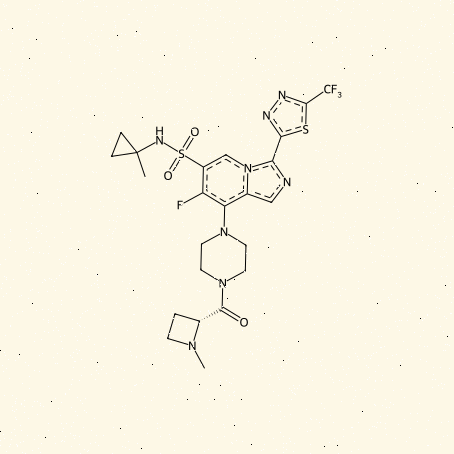 CN1CC[C@@H]1C(=O)N1CCN(c2c(F)c(S(=O)(=O)NC3(C)CC3)cn3c(-c4nnc(C(F)(F)F)s4)ncc23)CC1